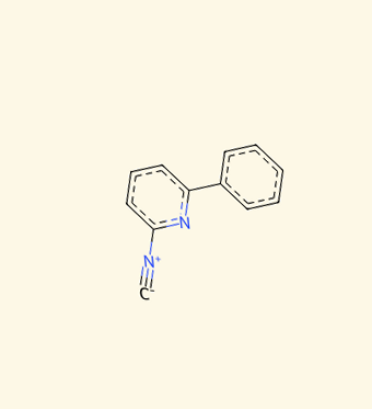 [C-]#[N+]c1cccc(-c2ccccc2)n1